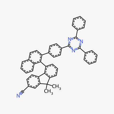 CC1(C)c2cc(C#N)ccc2-c2c(-c3c(-c4ccc(-c5nc(-c6ccccc6)nc(-c6ccccc6)n5)cc4)ccc4ccccc34)cccc21